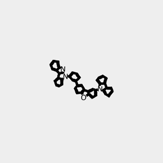 c1cc(-c2ccc3oc4ccc(-n5c6ccccc6c6ccccc65)cc4c3c2)cc(N2C3=Nc4ccccc4C3c3ccccc32)c1